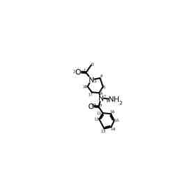 CC(=O)N1CCC(N(N)C(=O)c2ccccc2)CC1